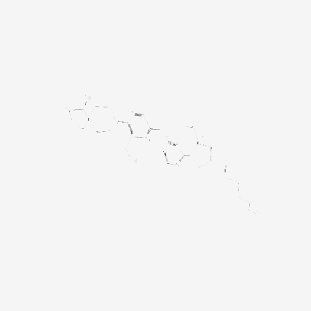 COCOCOC[C@H]1C[C@H]2COc3c(Sc4cnc(N5CCC6(CC5)CO[C@@H](C)[C@H]6N)c(CO)n4)ccnc3N2C1